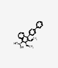 C=Cc1c(C=C)c(-c2ccc(-c3ccccc3)cc2)c2ccccc2c1B(O)O